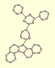 c1ccc(-c2nc(-c3ccccc3)nc(-c3ccc(-n4c5ccc6ccccc6c5c5ccc6ccccc6c54)nc3)n2)cc1